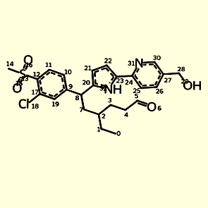 CCC(CCC=O)CC(c1ccc(S(C)(=O)=O)c(Cl)c1)c1ccc(-c2ccc(CO)cn2)[nH]1